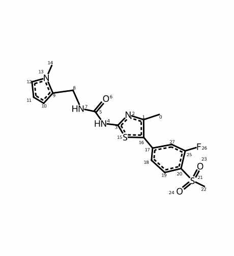 Cc1nc(NC(=O)NCc2cccn2C)sc1-c1ccc(S(C)(=O)=O)c(F)c1